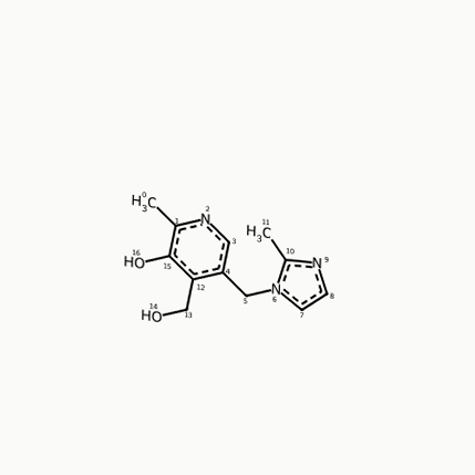 Cc1ncc(Cn2ccnc2C)c(CO)c1O